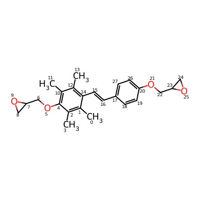 Cc1c(C)c(OCC2CO2)c(C)c(C)c1C=Cc1ccc(OCC2CO2)cc1